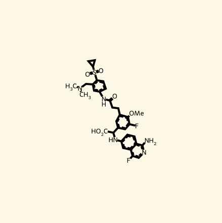 COc1c(F)cc(C(Nc2ccc3c(N)ncc(F)c3c2)C(=O)O)cc1CCC(=O)Nc1ccc(S(=O)(=O)C2CC2)c(CN(C)C)c1